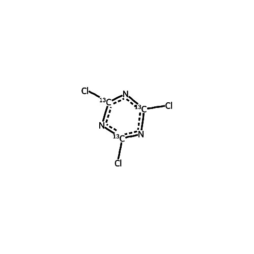 Cl[13c]1n[13c](Cl)n[13c](Cl)n1